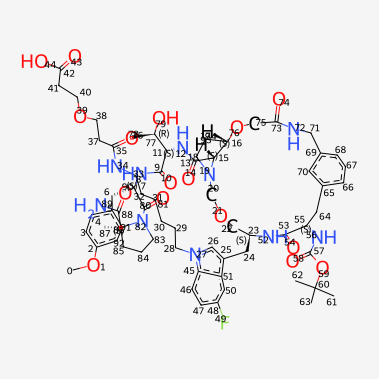 COc1ccc(C[C@H](NC(=O)[C@@H](NC(=O)[C@@H]2[C@@H]3CCN2COC[C@H](Cc2cn(CCCCCCNC(=O)CCOCCC(=O)O)c4ccc(F)cc24)NC(=O)[C@@H](NC(=O)OC(C)(C)C)Cc2cccc(c2)CNC(=O)CO3)[C@@H](C)O)C(=O)N2CCC[C@@]2(C)C(N)=O)cc1